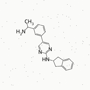 CC(N)c1cccc(-c2cnc(NC3Cc4ccccc4C3)nc2)c1